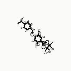 CC(C)c1ccc(COc2cc(F)c(B3OC(C)(C)C(C)(C)O3)cc2F)cc1